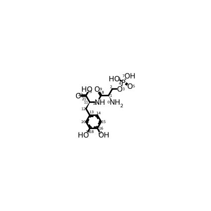 N[C@@H](COP(=O)(O)O)C(=O)N[C@@H](Cc1ccc(O)c(O)c1)C(=O)O